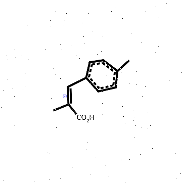 C/C(=C/c1ccc(C)cc1)C(=O)O